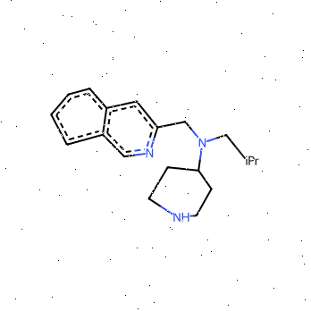 CC(C)CN(Cc1cc2ccccc2cn1)C1CCNCC1